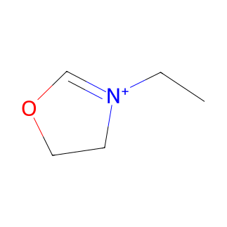 CC[N+]1=COCC1